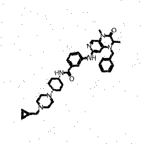 CC1C(=O)N(C)c2cnc(Nc3cccc(C(=O)N[C@H]4CC[C@@H](N5CCN(CC6CC6)CC5)CC4)c3)cc2N1Cc1ccccc1